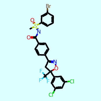 CS(=O)(=NC(=O)c1ccc(C2=NOC(c3cc(Cl)cc(Cl)c3)(C(F)(F)F)C2)cc1)c1cccc(Br)c1